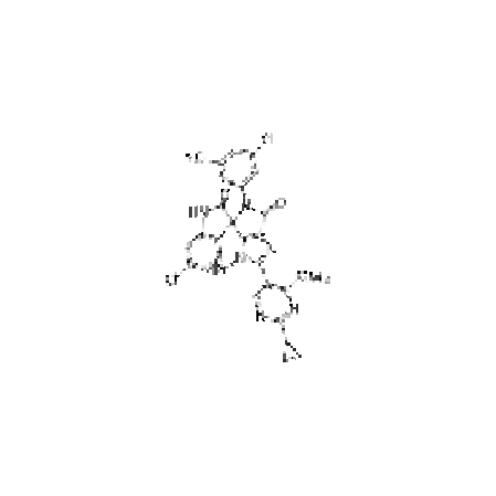 COc1nc(C2CC2)ncc1-c1nc2c(n1C(C)C)C1(C(=O)Nc3cc(Cl)ccc31)N(c1cc(Cl)cc(C#N)c1)C2=O